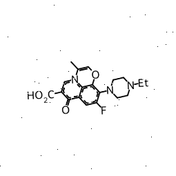 CCN1CCN(c2c(F)cc3c(=O)c(C(=O)O)cn4c3c2OC=C4C)CC1